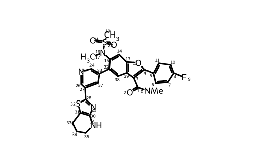 CNC(=O)c1c(-c2ccc(F)cc2)oc2cc(N(C)S(C)(=O)=O)c(-c3cncc(-c4nc5c(s4)CCCN5)c3)cc12